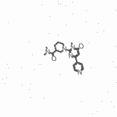 CN(C)C(=O)C1CCCN(c2nc(-c3ccncc3)cc(=O)n2C)C1